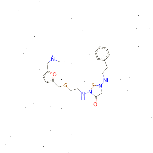 CN(C)Cc1ccc(CSCCNN2SN(NCCc3ccccc3)CC2=O)o1